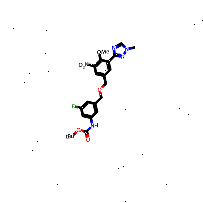 COc1c(-c2ncn(C)n2)cc(COCc2cc(F)cc(NC(=O)OC(C)(C)C)c2)cc1[N+](=O)[O-]